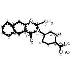 Cc1nc2cc3ccccc3cc2c(=O)n1C1CCC(C(=O)C=O)NC1